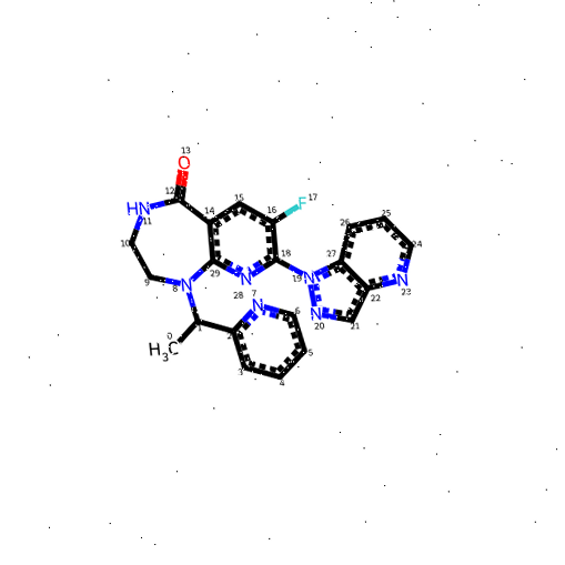 CC(c1ccccn1)N1CCNC(=O)c2cc(F)c(-n3ncc4ncccc43)nc21